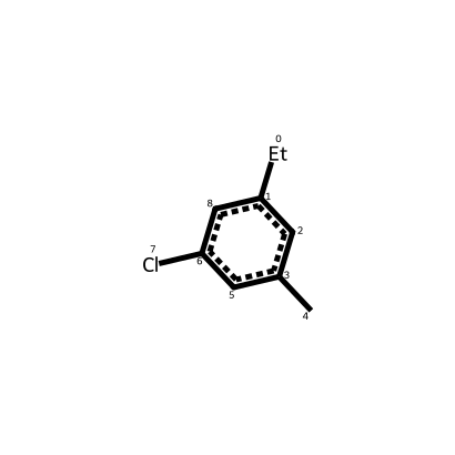 [CH2]Cc1cc(C)cc(Cl)c1